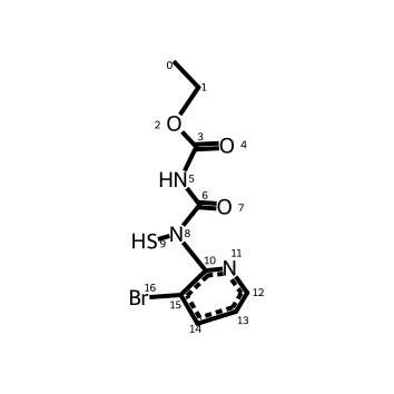 CCOC(=O)NC(=O)N(S)c1ncccc1Br